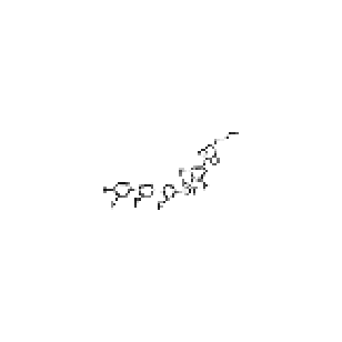 C=CCCC1COC(c2cc(F)c(C(F)(F)Oc3ccc(-c4ccc(-c5ccc(F)c(F)c5)c(F)c4)c(F)c3)c(F)c2)OC1